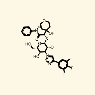 CCN(C(=O)[C@@H](S[C@@H]1O[C@H](CO)[C@H](O)[C@H](n2cc(-c3cc(F)c(F)c(F)c3)nn2)[C@H]1O)C1(O)CCOCC1)c1ccccc1